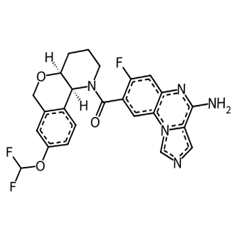 Nc1nc2cc(F)c(C(=O)N3CCC[C@@H]4OCc5cc(OC(F)F)ccc5[C@@H]43)cc2n2cncc12